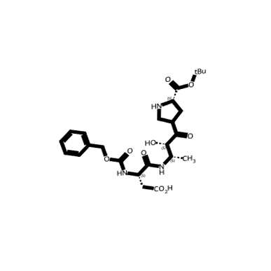 C[C@H](NC(=O)[C@H](CC(=O)O)NC(=O)OCc1ccccc1)[C@H](O)C(=O)C1CN[C@H](C(=O)OC(C)(C)C)C1